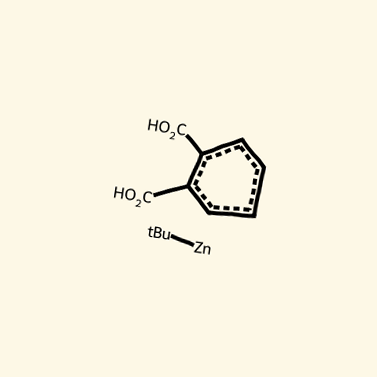 C[C](C)(C)[Zn].O=C(O)c1ccccc1C(=O)O